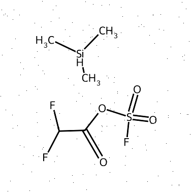 C[SiH](C)C.O=C(OS(=O)(=O)F)C(F)F